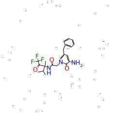 CC(C)C(C)(NC(=O)Cn1cc(Cc2ccccc2)cc(N)c1=O)C(=O)C(F)(F)F